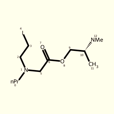 CCCN(CCI)CC(=O)OC[C@@H](C)NC